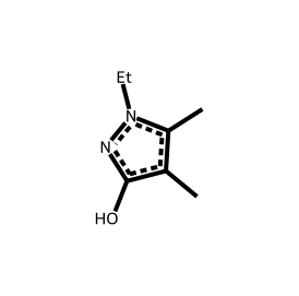 CCn1nc(O)c(C)c1C